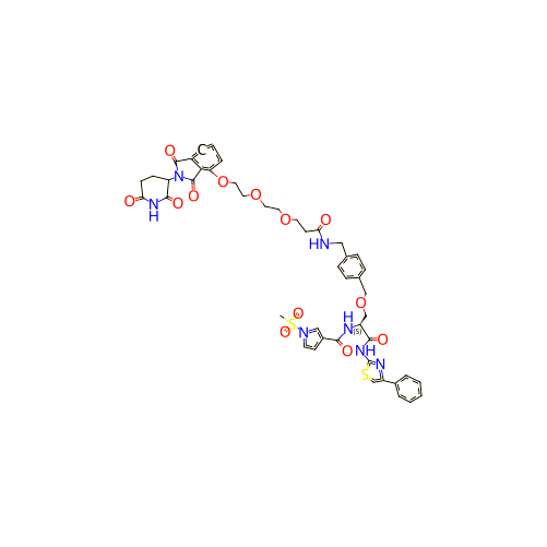 CS(=O)(=O)n1ccc(C(=O)N[C@@H](COCc2ccc(CNC(=O)CCOCCOCCOc3cccc4c3C(=O)N(C3CCC(=O)NC3=O)C4=O)cc2)C(=O)Nc2nc(-c3ccccc3)cs2)c1